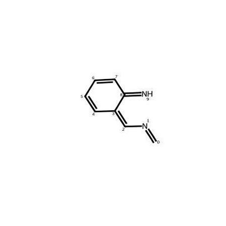 C=N/C=C1/C=CC=CC1=N